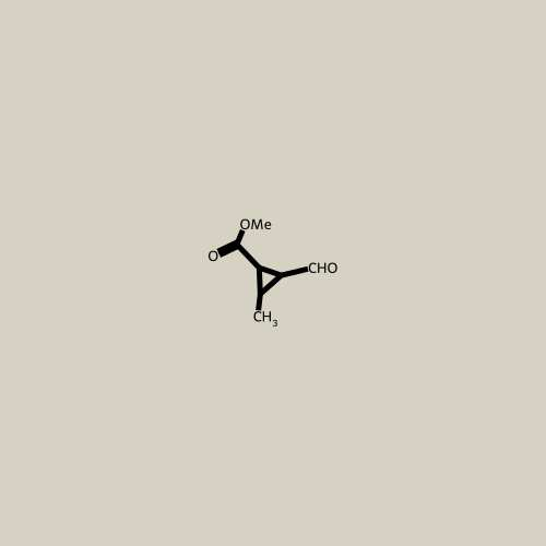 COC(=O)C1C(C)C1C=O